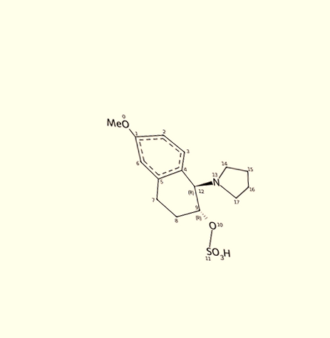 COc1ccc2c(c1)CC[C@@H](OS(=O)(=O)O)[C@@H]2N1CCCC1